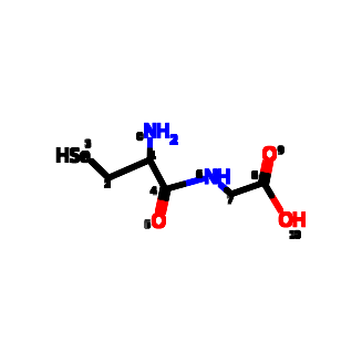 NC(C[SeH])C(=O)NCC(=O)O